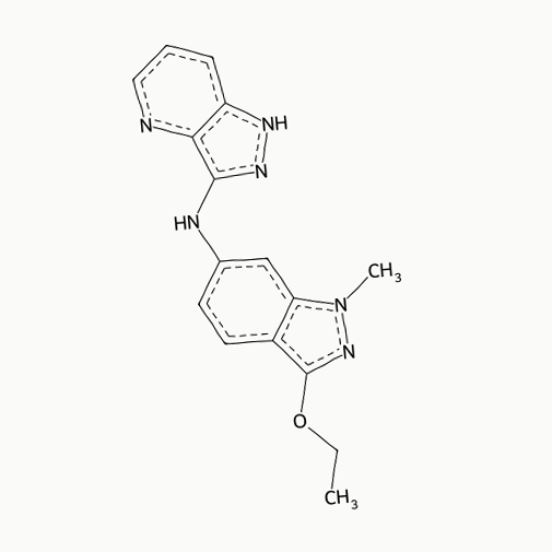 CCOc1nn(C)c2cc(Nc3n[nH]c4cccnc34)ccc12